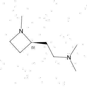 CN(C)CC[C@H]1CCN1C